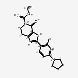 Cc1nc(N2CCCC2)ccc1-c1nc2c(s1)C(=O)N(C(=O)OC(C)(C)C)CC2